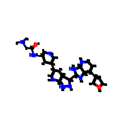 CN(C)CC(=O)Nc1cncc(-c2cnc3[nH]nc(-c4nc5c(-c6ccoc6)ccnc5[nH]4)c3c2)c1